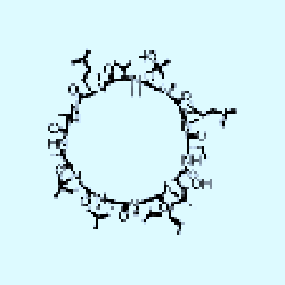 C/C=C/C[C@@H](C)[C@@H](O)[C@H]1C(=O)N[C@@H](CC)C(=O)N(C)[C@@H](SCCN(C)C)C(=O)N(C)[C@@H](CC(C)(C)O)C(=O)N[C@H](C(C)C)C(=O)N(C)[C@H](CCC(C)C)C(=O)N[C@H](C)C(=O)N[C@@H](C)C(=O)N(C)[C@@H](CC(C)C)C(=O)N(C)[C@@H](CC(C)C)C(=O)N(C)[C@@H](C(C)C)C(=O)N1C